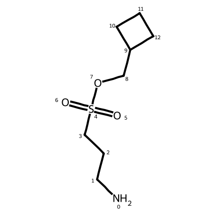 NCCCS(=O)(=O)OCC1CCC1